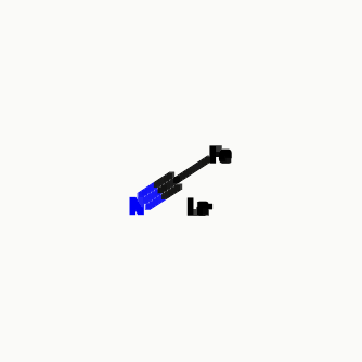 N#[C][Fe].[La]